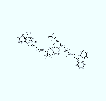 CC(C)(C)OC(=O)CN(CCNC(=O)OCC1c2ccccc2-c2ccccc21)C(=O)Cn1cc(C#CCCOP2(=O)Oc3ccccc3C(C)(C)O2)c(=O)[nH]c1=O